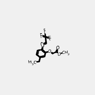 CCc1ccc(OCC(F)(F)F)c(OCC(=O)OC)c1